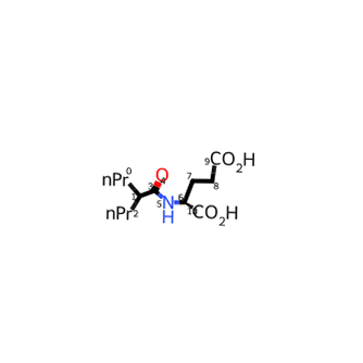 CCCC(CCC)C(=O)N[C@@H](CCC(=O)O)C(=O)O